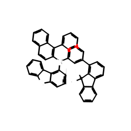 CC1(C)c2ccccc2-c2cccc(-c3cccc(N(c4ccc5ccccc5c4-c4ccccc4)c4cccc5sc6ccccc6c45)c3)c21